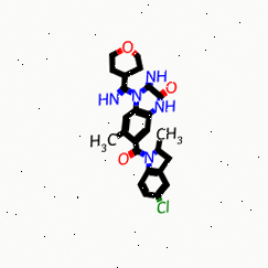 Cc1cc2c(cc1C(=O)N1c3ccc(Cl)cc3CC1C)[nH]c(=O)c(=N)n2C(=N)C1CCOCC1